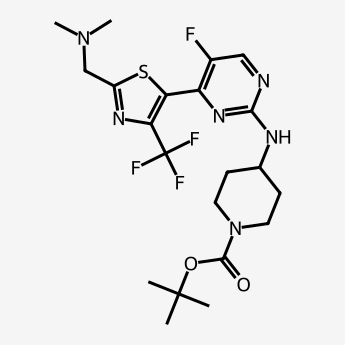 CN(C)Cc1nc(C(F)(F)F)c(-c2nc(NC3CCN(C(=O)OC(C)(C)C)CC3)ncc2F)s1